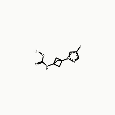 CC(C)(C)OC(=O)NC12CC(n3cc(I)cn3)(C1)C2